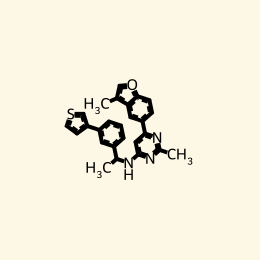 Cc1nc(NC(C)c2cccc(-c3ccsc3)c2)cc(-c2ccc3occ(C)c3c2)n1